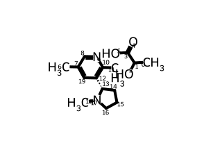 CC(O)C(=O)O.Cc1cnc(C)c([C@@H]2CCCN2C)c1